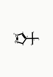 CC(C)(C)C1=CN=NC1